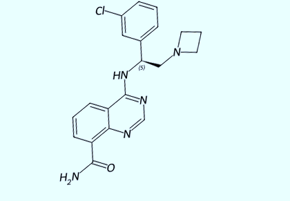 NC(=O)c1cccc2c(N[C@H](CN3CCC3)c3cccc(Cl)c3)ncnc12